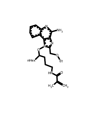 C=C(C)C(=O)NCCCC(CCCCCC)On1c(COCC)nc2c(N)nc3ccccc3c21